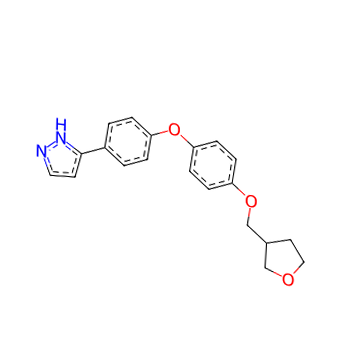 c1cc(-c2ccc(Oc3ccc(OCC4CCOC4)cc3)cc2)[nH]n1